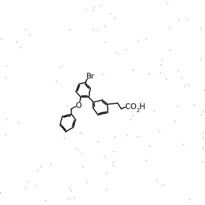 O=C(O)CCc1cccc(-c2cc(Br)ccc2OCc2ccccc2)c1